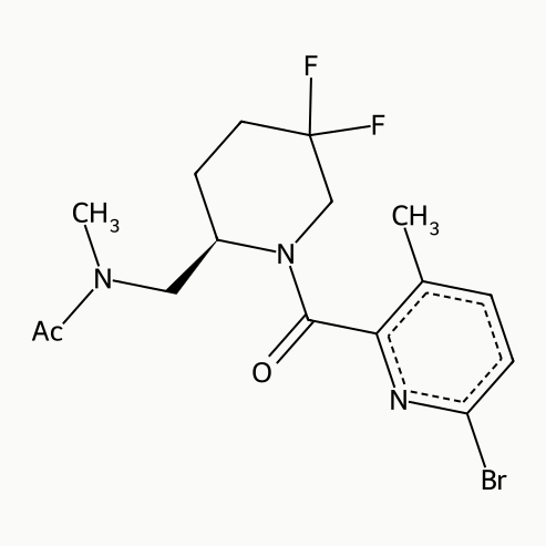 CC(=O)N(C)C[C@H]1CCC(F)(F)CN1C(=O)c1nc(Br)ccc1C